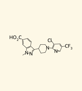 Cn1nc(C2CCN(c3ncc(C(F)(F)F)cc3Cl)CC2)c2ccc(C(=O)O)cc21